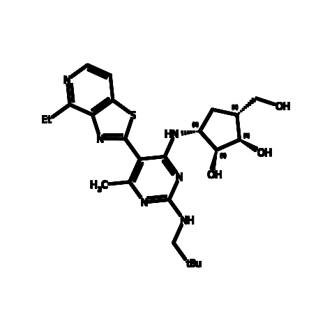 CCc1nccc2sc(-c3c(C)nc(NCC(C)(C)C)nc3N[C@@H]3C[C@H](CO)[C@@H](O)[C@H]3O)nc12